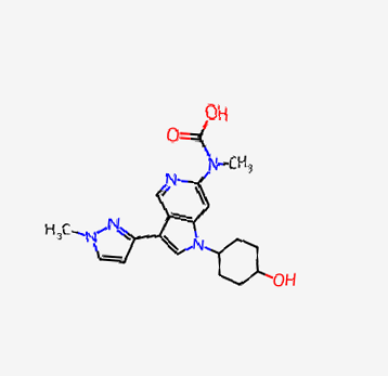 CN(C(=O)O)c1cc2c(cn1)c(-c1ccn(C)n1)cn2C1CCC(O)CC1